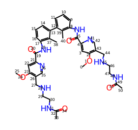 COc1cc(C(=O)Nc2cccc(-c3cccc(NC(=O)c4cc(OC)c(CNCCNC(C)=O)cn4)c3C)c2C)ncc1CNCCNC(C)=O